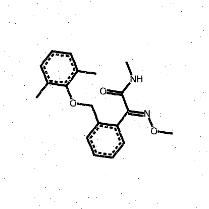 CNC(=O)/C(=N/OC)c1ccccc1COc1c(C)cccc1C